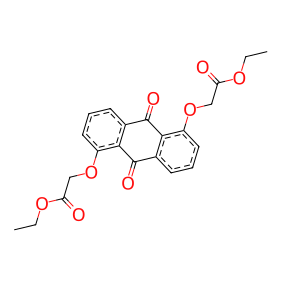 CCOC(=O)COc1cccc2c1C(=O)c1cccc(OCC(=O)OCC)c1C2=O